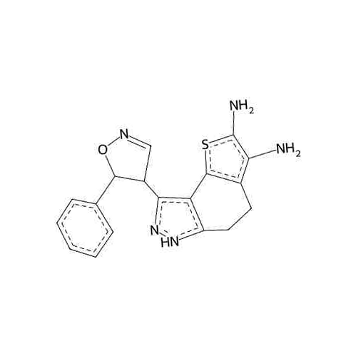 Nc1sc2c(c1N)CCc1[nH]nc(C3C=NOC3c3ccccc3)c1-2